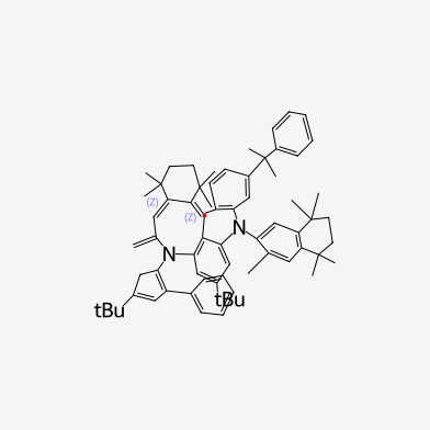 C=C1/C=C2\C(=C/c3c(cc(C(C)(C)C)cc3N(c3cc(C(C)(C)c4ccccc4)ccc3C)c3cc4c(cc3C)C(C)(C)CCC4(C)C)N1C1=C(c3ccccc3)C=C(C(C)(C)C)C1)C(C)(C)CCC2(C)C